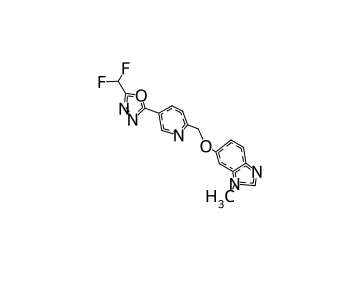 Cn1cnc2ccc(OCc3ccc(-c4nnc(C(F)F)o4)cn3)cc21